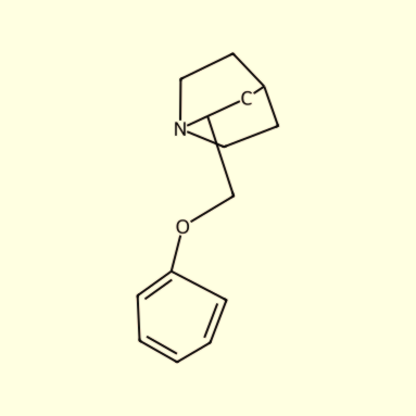 c1ccc(OCC2CC3CCN2CC3)cc1